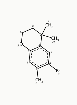 Cc1cc2c(cc1Br)C(C)(C)CCO2